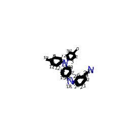 Cc1ccc(N(c2ccc(C)cc2)c2ccc(N(C)c3cccc(C#N)c3)cc2)cc1